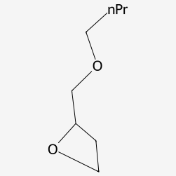 C[CH]CCOCC1CCO1